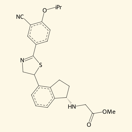 COC(=O)CN[C@H]1CCc2c(C3CN=C(c4ccc(OC(C)C)c(C#N)c4)S3)cccc21